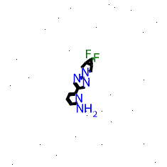 Nc1cccc(-c2cnc(N3CC4C(C3)C4(F)F)nc2)n1